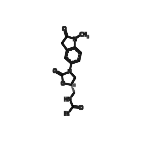 CCC(=O)NC[C@H]1CN(c2ccc3c(c2)CC(=O)N3C)C(=O)O1